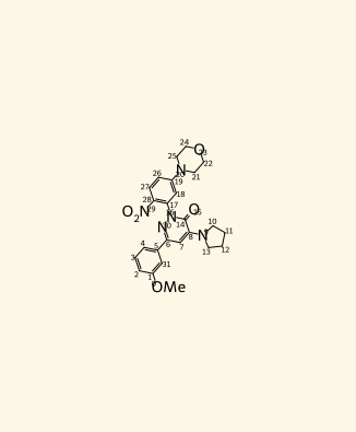 COc1cccc(-c2cc(N3CCCC3)c(=O)n(-c3cc(N4CCOCC4)ccc3[N+](=O)[O-])n2)c1